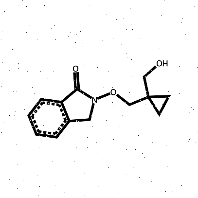 O=C1c2ccccc2CN1OCC1(CO)CC1